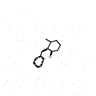 CC1CCCC(=O)/C1=C\c1ccccc1